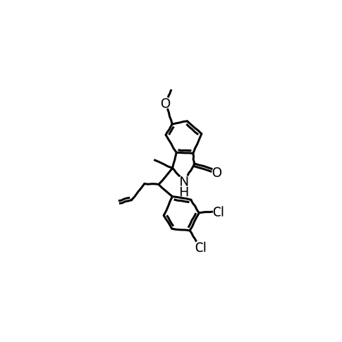 C=CCC(c1ccc(Cl)c(Cl)c1)C1(C)NC(=O)c2ccc(OC)cc21